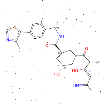 CC(=N)/C=C(\O)C(C(=O)C1C[C@H](O)C[C@@H](C(=O)N[C@@H](C)c2ccc(-c3scnc3C)cc2I)C1)C(C)C